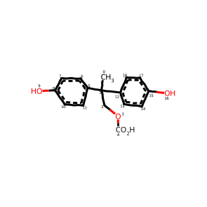 CC(COC(=O)O)(c1ccc(O)cc1)c1ccc(O)cc1